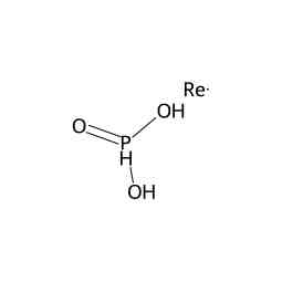 O=[PH](O)O.[Re]